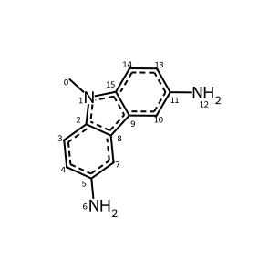 Cn1c2ccc(N)cc2c2cc(N)ccc21